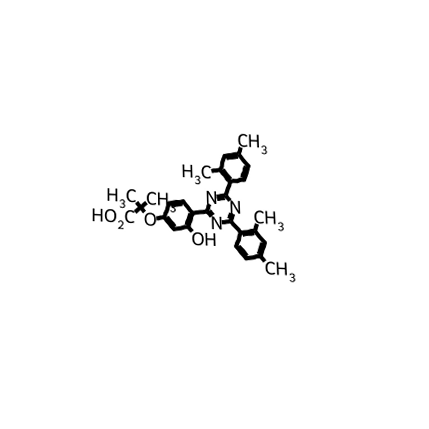 Cc1ccc(-c2nc(-c3ccc(C)cc3C)nc(-c3ccc(OC(C)(C)C(=O)O)cc3O)n2)c(C)c1